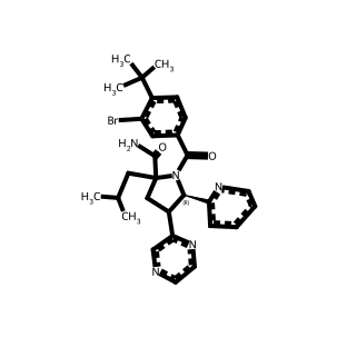 CC(C)CC1(C(N)=O)CC(c2cnccn2)[C@H](c2ccccn2)N1C(=O)c1ccc(C(C)(C)C)c(Br)c1